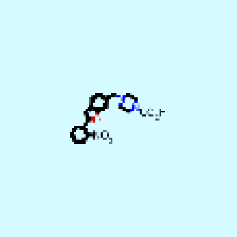 O=C(O)N1CCN(Cc2ccc3cc(-c4ccccc4[N+](=O)[O-])oc3c2)CC1